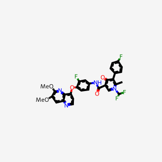 COc1cc2nccc(Oc3ccc(NC(=O)c4cn(C(F)F)c(C)c(-c5ccc(F)cc5)c4=O)cc3F)c2nc1OC